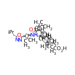 C=C(C)[C@@H]1CC[C@]2(C(=O)N[C@@H]3C[C@H](c4nnc(CC(C)C)o4)C3(C)C)CC[C@]3(C)[C@H](CC[C@@H]4[C@]5(C)CC[C@@H](CC(=O)O)C(C)(C)[C@H]5CC[C@]43C)[C@@H]12